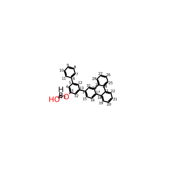 OBOc1cc(-c2ccccc2)cc(-c2ccc3c4ccccc4c4ccccc4c3c2)c1